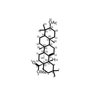 COC(=O)[C@]12CCC(C)(C)C[C@H]1C1=CCC3[C@@]4(C)CC[C@H](OC(C)=O)C(C)(C)C4CC[C@@]3(C)[C@]1(C)CC2